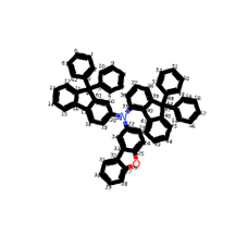 c1ccc(C2(c3ccccc3)c3ccccc3-c3ccc(N(c4ccc5oc6ccccc6c5c4)c4cccc5c4-c4ccccc4C5(c4ccccc4)c4ccccc4)cc32)cc1